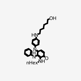 CCCCCCNC1=C(Nc2ccccc2)/C(=N/c2ccc(NCCCCCCO)cc2)C=CC1=O